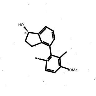 COc1ccc(C)c(-c2cccc3c2CC[C@H]3O)c1C